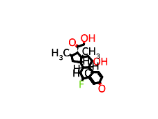 CC1C[C@H]2[C@@H]3C[C@H](F)C4=CC(=O)C=C[C@]4(C)[C@H]3[C@@H](O)C[C@]2(C)[C@H]1C(=O)CO